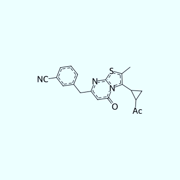 CC(=O)C1CC1c1c(C)sc2nc(Cc3cccc(C#N)c3)cc(=O)n12